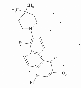 CCn1cc(C(=O)O)c(=O)c2c3ccc(N4CCC(C)(C)CC4)c(F)c3ncc21